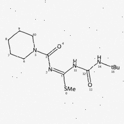 CSC(=NC(=O)N1CCCCC1)NC(=O)NC(C)(C)C